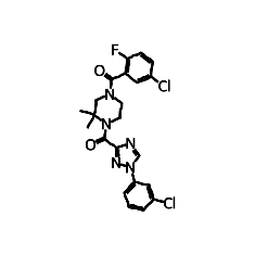 CC1(C)CN(C(=O)c2cc(Cl)ccc2F)CCN1C(=O)c1ncn(-c2cccc(Cl)c2)n1